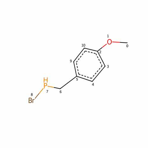 COc1ccc(CPBr)cc1